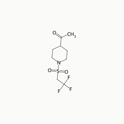 CC(=O)C1CCN(S(=O)(=O)CC(F)(F)F)CC1